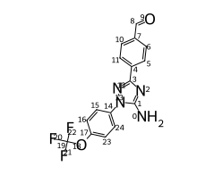 Nc1nc(-c2ccc(C=O)cc2)nn1-c1ccc(OC(F)(F)F)cc1